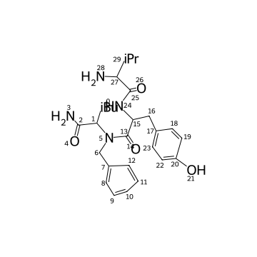 CCC(C)C(C(N)=O)N(Cc1ccccc1)C(=O)C(Cc1ccc(O)cc1)NC(=O)C(N)C(C)C